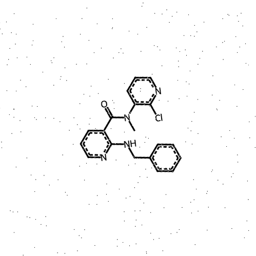 CN(C(=O)c1cccnc1NCc1ccccc1)c1cccnc1Cl